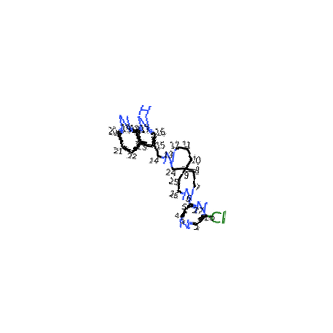 Clc1cncc(N2CCC3(CCCN(Cc4c[nH]c5ncccc45)C3)CC2)n1